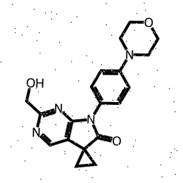 O=C1N(c2ccc(N3CCOCC3)cc2)c2nc(CO)ncc2C12CC2